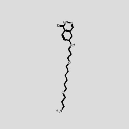 NCCCOCCCCCCOCCCNC1C=Cc2c(cn[nH]c2=O)C1